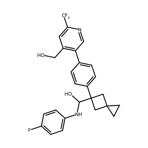 OCc1cc(C(F)(F)F)ncc1-c1ccc(C2(C(O)Nc3ccc(F)cc3)CC3(CC3)C2)cc1